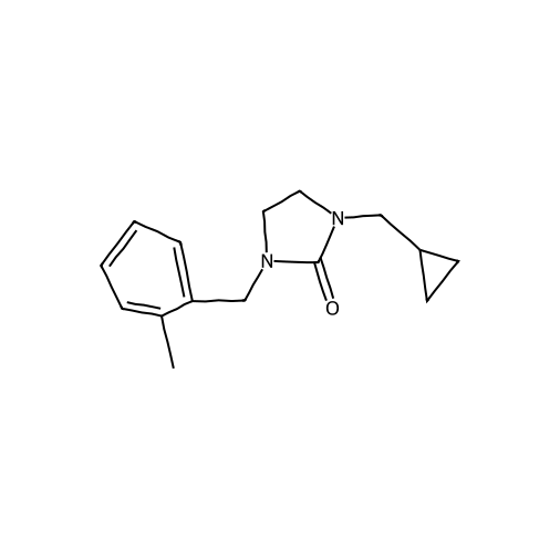 Cc1ccccc1CN1CCN(CC2CC2)C1=O